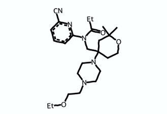 CCOCCN1CCN(C2(CN(C(=O)CC)c3cccc(C#N)n3)CCOC(C)(C)C2)CC1